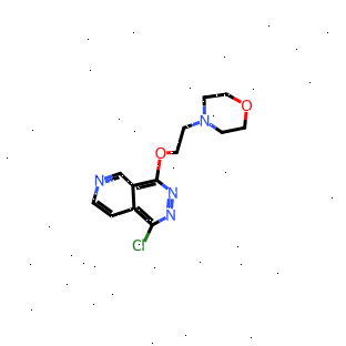 Clc1nnc(OCCN2CCOCC2)c2cnccc12